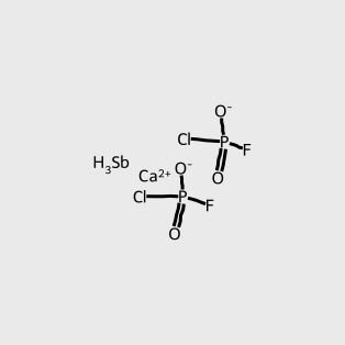 O=P([O-])(F)Cl.O=P([O-])(F)Cl.[Ca+2].[SbH3]